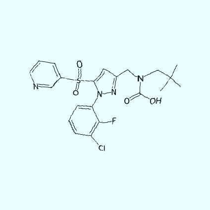 CC(C)(C)CN(Cc1cc(S(=O)(=O)c2cccnc2)n(-c2cccc(Cl)c2F)n1)C(=O)O